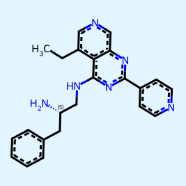 CCc1cncc2nc(-c3ccncc3)nc(NC[C@@H](N)Cc3ccccc3)c12